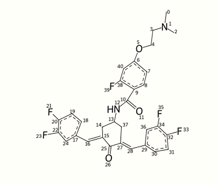 CN(C)CCOc1ccc(C(=O)NC2CC(=Cc3ccc(F)c(F)c3)C(=O)C(=Cc3ccc(F)c(F)c3)C2)c(F)c1